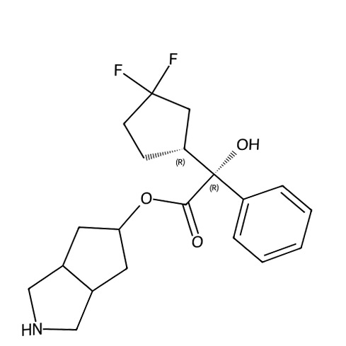 O=C(OC1CC2CNCC2C1)[C@](O)(c1ccccc1)[C@@H]1CCC(F)(F)C1